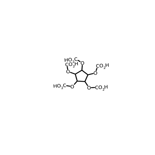 O=C(O)OC1C(OC(=O)O)C(OC(=O)O)C(OC(=O)O)C1OC(=O)O